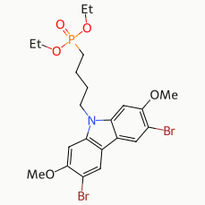 CCOP(=O)(CCCCn1c2cc(OC)c(Br)cc2c2cc(Br)c(OC)cc21)OCC